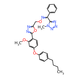 CCCCc1ccc(Oc2ccc(-c3nnc(CO/N=C(/c4ccccc4)c4nnnn4C)o3)c(OC)c2)cc1